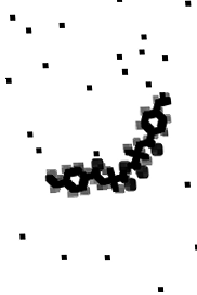 C=Cc1ccc(C(=O)CC(C)(C)C(=O)OC(=O)C(C)(C)CC(=O)c2ccc(C=C)cc2)cc1